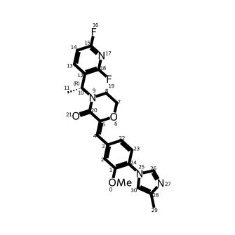 COc1cc(C=C2OCCN([C@H](C)c3ccc(F)nc3F)C2=O)ccc1-n1cnc(C)c1